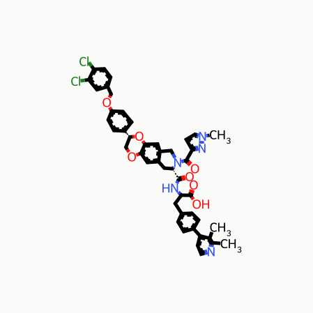 Cc1nccc(-c2ccc(CC(NC(=O)[C@@H]3Cc4cc5c(cc4CN3C(=O)c3ccn(C)n3)O[C@@H](c3ccc(OCc4ccc(Cl)c(Cl)c4)cc3)CO5)C(=O)O)cc2)c1C